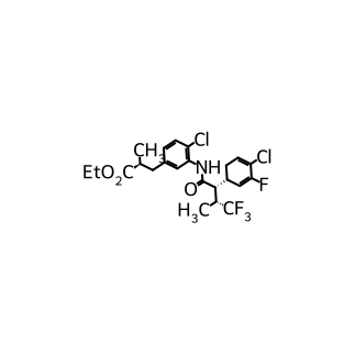 CCOC(=O)[C@@H](C)Cc1ccc(Cl)c(NC(=O)[C@H](C2C=C(F)C(Cl)=CC2)[C@@H](C)C(F)(F)F)c1